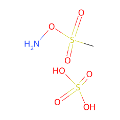 CS(=O)(=O)ON.O=S(=O)(O)O